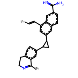 CC(C)/C=C/c1cc(C2CC2c2ccc3c(c2)C(C(C)C)=NCC3)cc2ccc(C(=N)N)cc12